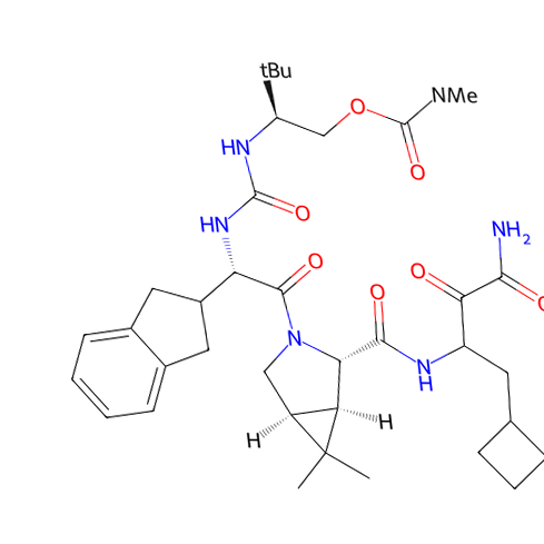 CNC(=O)OC[C@@H](NC(=O)N[C@H](C(=O)N1C[C@H]2[C@@H]([C@H]1C(=O)NC(CC1CCC1)C(=O)C(N)=O)C2(C)C)C1Cc2ccccc2C1)C(C)(C)C